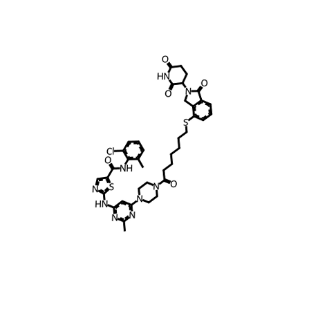 Cc1nc(Nc2ncc(C(=O)Nc3c(C)cccc3Cl)s2)cc(N2CCN(C(=O)CCCCCCSc3cccc4c3CN(C3CCC(=O)NC3=O)C4=O)CC2)n1